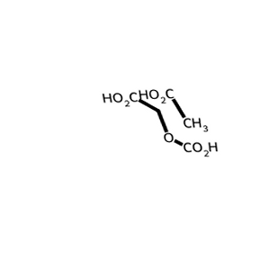 CC(=O)O.O=C(O)COC(=O)O